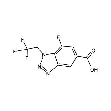 O=C(O)c1cc(F)c2c(c1)nnn2CC(F)(F)F